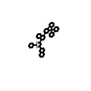 c1ccc(-c2nc(-c3ccc4ccccc4c3)cc(-c3ccc(-c4ccc5c(c4)C(c4ccccc4)(c4ccccc4)c4ccccc4-5)c4ccccc34)n2)cc1